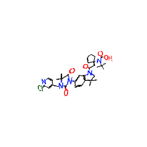 CC1(C)CN(C(=O)CC2(N(C(=O)O)C(C)(C)C)CCCC2)c2cc(N3C(=O)N(Cc4ccnc(Cl)c4)C(C)(C)C3=O)ccc21